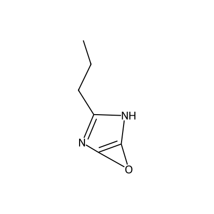 CCCc1nc2c([nH]1)O2